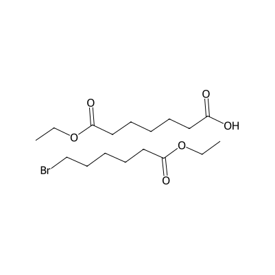 CCOC(=O)CCCCCBr.CCOC(=O)CCCCCC(=O)O